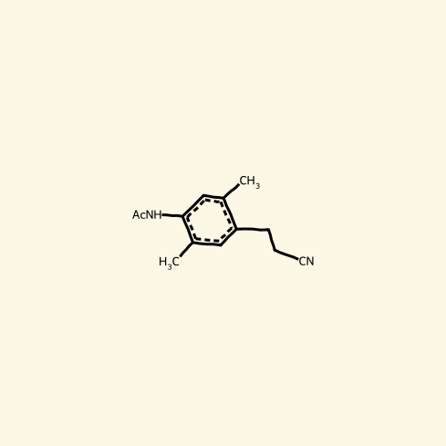 CC(=O)Nc1cc(C)c(CCC#N)cc1C